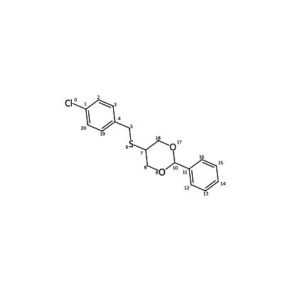 Clc1ccc(CSC2COC(c3ccccc3)OC2)cc1